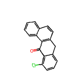 O=C1c2c(Cl)cccc2Cc2ccc3ccccc3c21